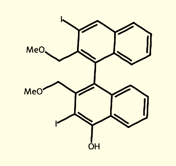 COCc1c(I)cc2ccccc2c1-c1c(COC)c(I)c(O)c2ccccc12